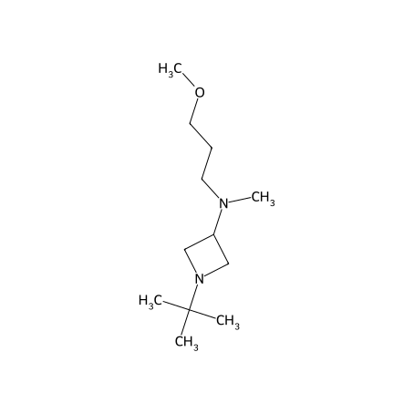 COCCCN(C)C1CN(C(C)(C)C)C1